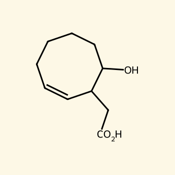 O=C(O)CC1C=CCCCCC1O